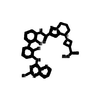 COC(=O)C1CN([C@H]2CCCn3nc(C(=O)Nc4cccc(-c5cccc(Nc6nc(C(C)C)nc7cccnc67)c5Cl)c4Cl)cc32)C1